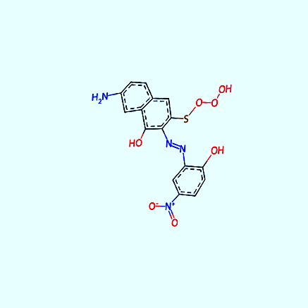 Nc1ccc2cc(SOOO)c(/N=N/c3cc([N+](=O)[O-])ccc3O)c(O)c2c1